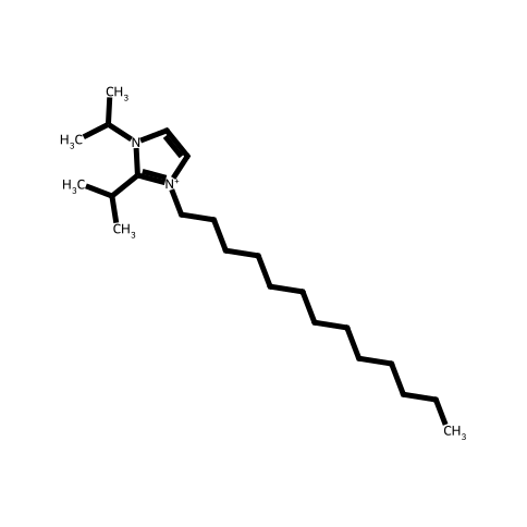 CCCCCCCCCCCCC[n+]1ccn(C(C)C)c1C(C)C